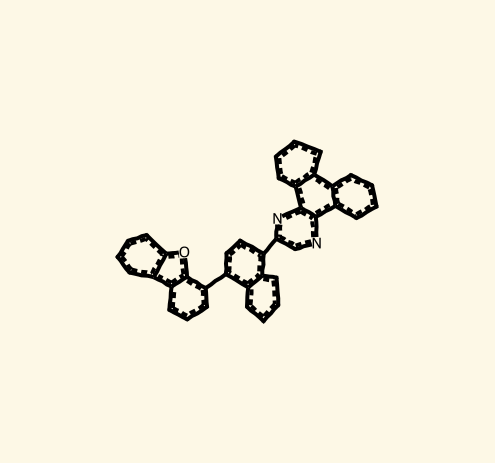 c1ccc2c(c1)oc1c(-c3ccc(-c4cnc5c6ccccc6c6ccccc6c5n4)c4ccccc34)cccc12